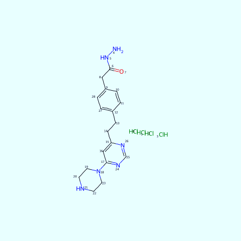 Cl.Cl.Cl.Cl.NNC(=O)Cc1ccc(CCc2cc(N3CCNCC3)ncn2)cc1